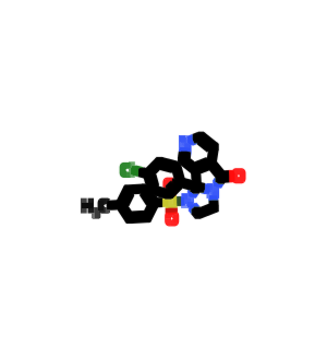 Cc1ccc(S(=O)(=O)N2CCN3C(=O)c4ccncc4C32c2ccc(Cl)cc2)cc1